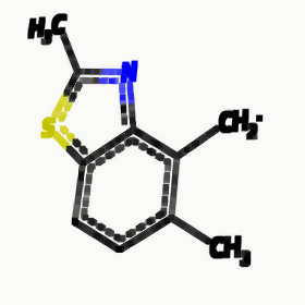 [CH2]c1c(C)ccc2sc(C)nc12